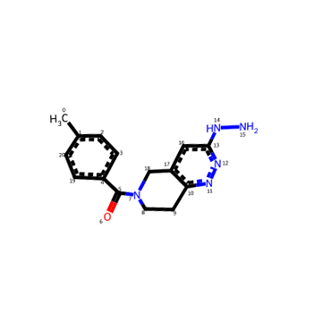 Cc1ccc(C(=O)N2CCc3nnc(NN)cc3C2)cc1